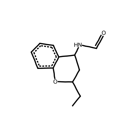 CCC1CC(NC=O)c2ccccc2O1